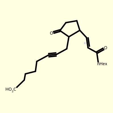 CCCCCCC(=O)/C=C/C1CCC(=O)C1CC#CCCCCC(=O)O